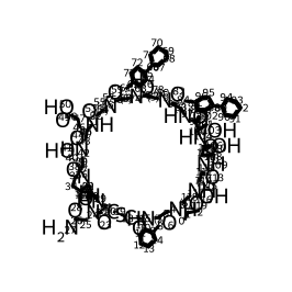 CC(C)[C@@H]1NC(=O)[C@H](Cc2ccccc2)NC(=O)CSC[C@@H](C(=O)NCC(N)=O)NC(=O)[C@@H]2CCCN2C(=O)[C@H](CO)NC(=O)[C@H](CCC(=O)O)NC(=O)[C@H](C)N(C)C(=O)[C@H](Cc2ccc(-c3ccccc3)cc2)NC(=O)[C@H](C)N(C)C(=O)[C@H](Cc2ccc(-c3ccccc3)cc2)NC(=O)[C@H]([C@@H](C)O)NC(=O)[C@H]([C@@H](C)O)NC(=O)[C@H](CO)NC1=O